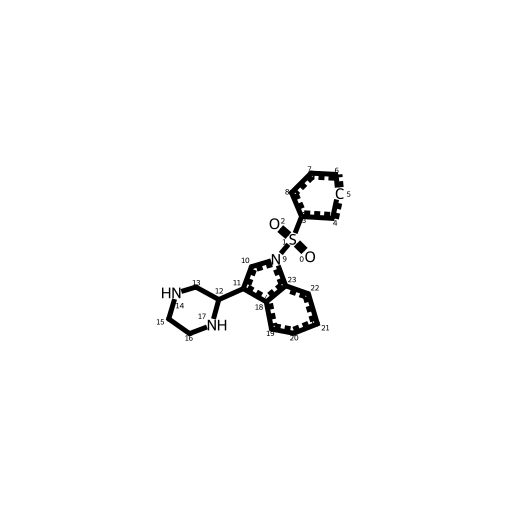 O=S(=O)(c1ccccc1)n1cc(C2CNCCN2)c2ccccc21